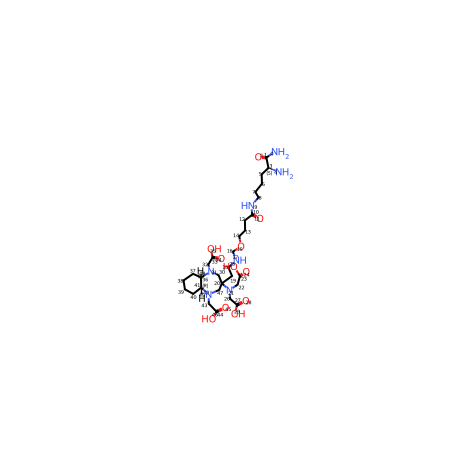 NC(=O)[C@@H](N)CCCCNC(=O)CCCOCNCCC1(N(CC(=O)O)CC(=O)O)CN(CC(=O)O)[C@@H]2CCCC[C@H]2N(CC(=O)O)C1